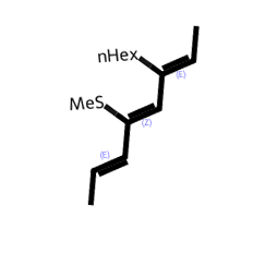 C/C=C/C(=C/C(=C/C)CCCCCC)SC